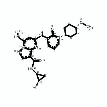 CNc1cc(Nc2cccn([C@H]3CC[C@@H](OC)CC3)c2=O)nc2c(C(=O)N[C@H]3C[C@H]3F)cnn12